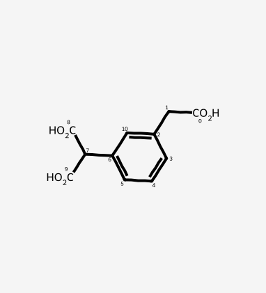 O=C(O)Cc1cccc(C(C(=O)O)C(=O)O)c1